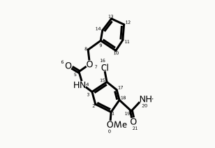 COc1cc(NC(=O)OCc2ccccc2)c(Cl)cc1C([NH])=O